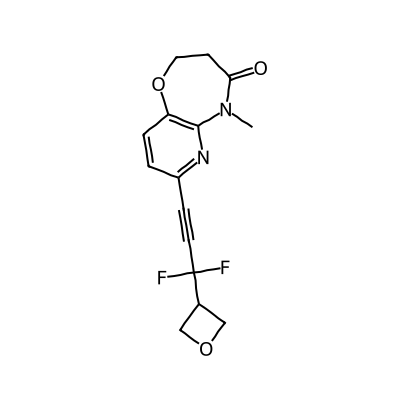 CN1C(=O)CCOc2ccc(C#CC(F)(F)C3COC3)nc21